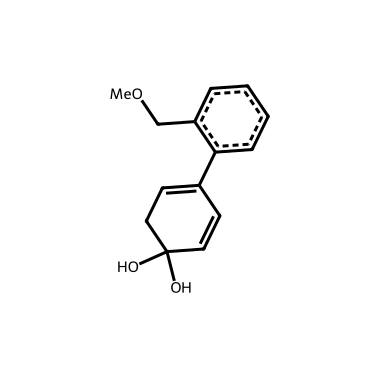 COCc1ccccc1C1=CCC(O)(O)C=C1